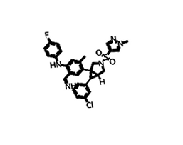 Cc1cc(Nc2ccc(F)cc2)c(C=N)cc1[C@@]12CN(S(=O)(=O)c3cnn(C)c3)C[C@@H]1[C@H]2c1cccc(Cl)c1